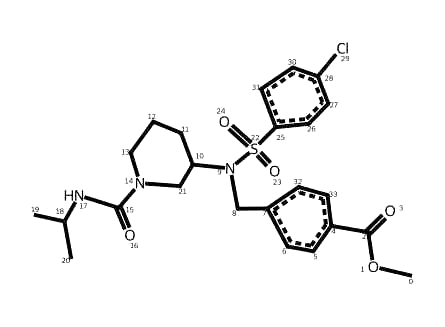 COC(=O)c1ccc(CN(C2CCCN(C(=O)NC(C)C)C2)S(=O)(=O)c2ccc(Cl)cc2)cc1